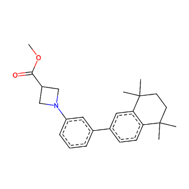 COC(=O)C1CN(c2cccc(-c3ccc4c(c3)C(C)(C)CCC4(C)C)c2)C1